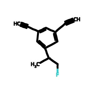 C#Cc1cc(C#C)cc([C](C)CF)c1